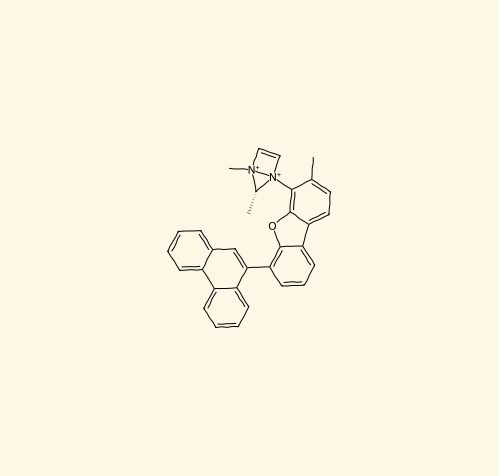 Cc1ccc2c(oc3c(-c4cc5ccccc5c5ccccc45)cccc32)c1[N+]12C=C[N+]1(C)[C@H]2C